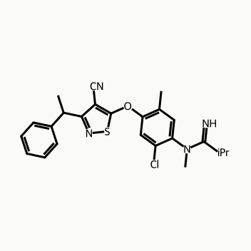 Cc1cc(N(C)C(=N)C(C)C)c(Cl)cc1Oc1snc(C(C)c2ccccc2)c1C#N